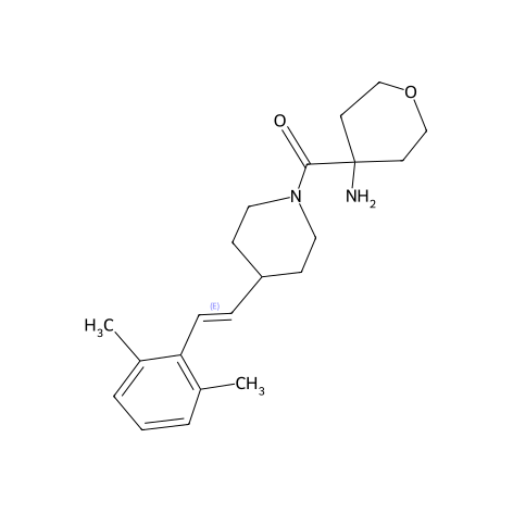 Cc1cccc(C)c1/C=C/C1CCN(C(=O)C2(N)CCOCC2)CC1